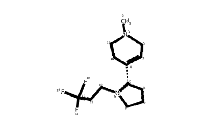 CN1CC=C([C@@H]2CCCN2CCC(F)(F)F)CC1